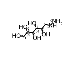 NNC[C@@H](O)[C@H](O)[C@@H](O)[C@H](O)CO